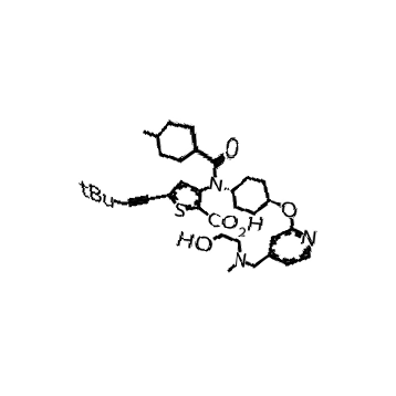 CC1CCC(C(=O)N(c2cc(C#CC(C)(C)C)sc2C(=O)O)[C@H]2CC[C@H](Oc3cc(CN(C)CCO)ccn3)CC2)CC1